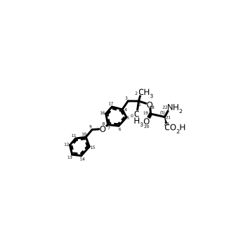 CC(C)(Cc1ccc(OCc2ccccc2)cc1)OC(=O)[C@@H](N)C(=O)O